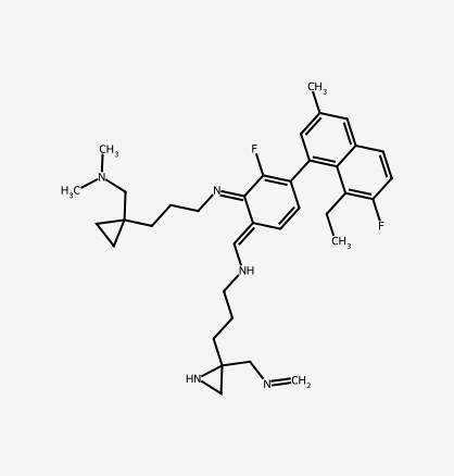 C=NCC1(CCCN/C=C2\C=CC(c3cc(C)cc4ccc(F)c(CC)c34)=C(F)\C2=N\CCCC2(CN(C)C)CC2)CN1